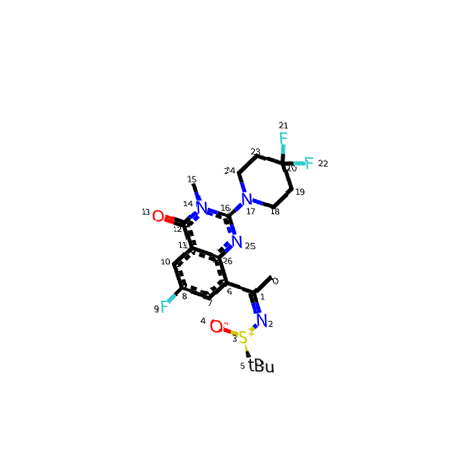 C/C(=N/[S@+]([O-])C(C)(C)C)c1cc(F)cc2c(=O)n(C)c(N3CCC(F)(F)CC3)nc12